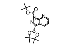 CC(C)(C)OC(=O)n1nc(B2OC(C)(C)C(C)(C)O2)c2cccnc21